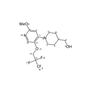 COc1cc(N2CCC(CO)CC2)c(OCC(F)(F)C(F)(F)F)cn1